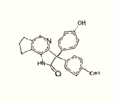 O=C1Nc2c(ncc3c2CCC3)C1(c1ccc(O)cc1)c1ccc(O)cc1